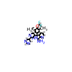 Cc1cc(C2(c3ccnc(-c4cncnc4)c3)NC(N)c3ncccc32)cc(C)c1OC(F)F